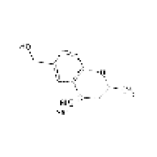 CC1COc2cc(CO)ccc2O1.[BH4-].[Na+]